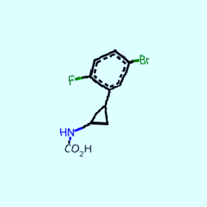 O=C(O)NC1CC1c1cc(Br)ccc1F